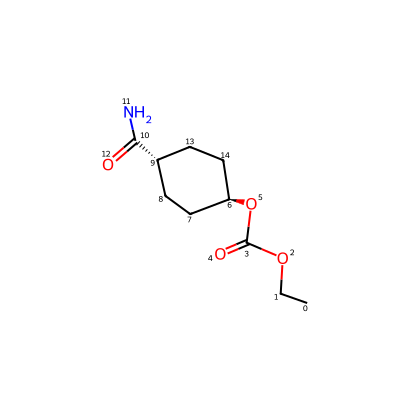 CCOC(=O)O[C@H]1CC[C@H](C(N)=O)CC1